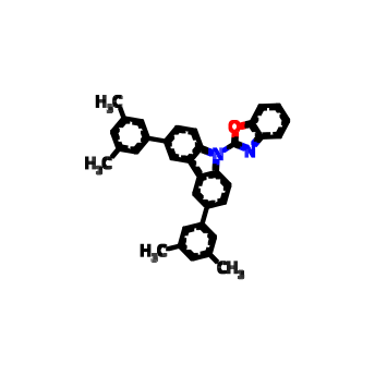 Cc1cc(C)cc(-c2ccc3c(c2)c2cc(-c4cc(C)cc(C)c4)ccc2n3-c2nc3ccccc3o2)c1